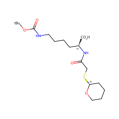 CC(C)(C)OC(=O)NCCCC[C@H](NC(=O)CS[C@H]1CCCCO1)C(=O)O